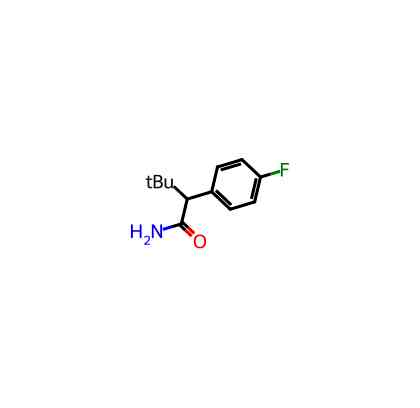 CC(C)(C)C(C(N)=O)c1ccc(F)cc1